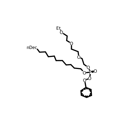 CCCCCCCCCCCCCCCCCCCCOP(=O)(OCCOCCOCCOCC)OOc1ccccc1